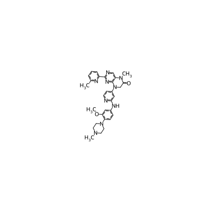 COc1cc(Nc2cc(N3CC(=O)N(C)c4cnc(-c5cccc(C)n5)nc43)ccn2)ccc1N1CCN(C)CC1